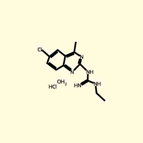 CCNC(=N)Nc1nc(C)c2cc(Cl)ccc2n1.Cl.O